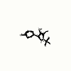 Cc1c(O)c(-c2ccc(Cl)cc2)nn1C(C)(C)C